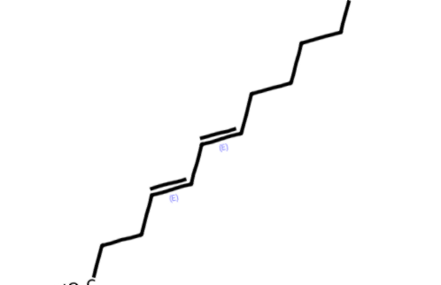 CCCCCCCCCCCC/C=C/C=C/CCC(=O)O